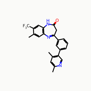 Cc1cc(C)c(-c2cccc(C3=Nc4cc(C)c(C(F)(F)F)cc4NC(=O)C3)c2)cn1